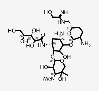 CN[C@@H]1C(O)[C@@H](OC2C(O)C(O[C@H]3O[C@H](CNC(=N)CO)CCC3N)[C@@H](N)C[C@H]2NC(=O)[C@@H](O)[C@@H](O)[C@@H](O)CO)OCC1(C)O